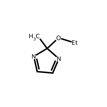 CCOC1(C)N=CC=N1